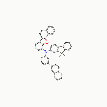 CC1(C)c2ccccc2-c2ccc(N(c3cccc(-c4ccc5ccccc5c4)c3)c3cccc4c3oc3c5ccccc5ccc43)cc21